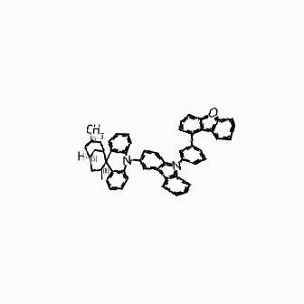 C[C@@H]1CC2C[C@H](C1)C[C@@H](I)C21c2ccccc2N(c2ccc3c(c2)c2ccccc2n3-c2cccc(-c3cccc4oc5ccccc5c34)c2)c2ccccc21